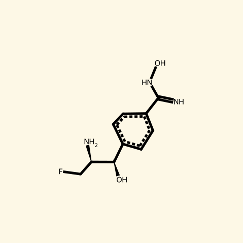 N=C(NO)c1ccc([C@@H](O)[C@H](N)CF)cc1